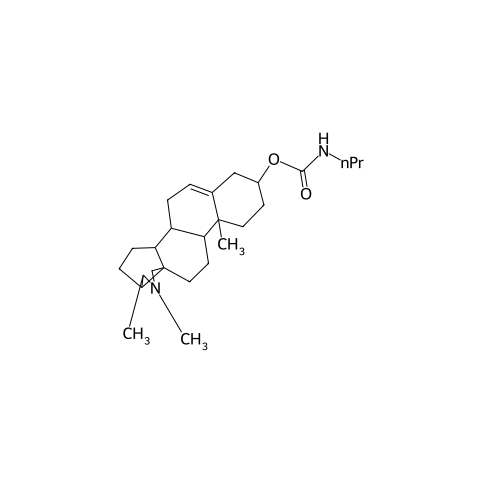 CCCNC(=O)OC1CCC2(C)C(=CCC3C2CCC24CN(C)C(C)C2CCC34)C1